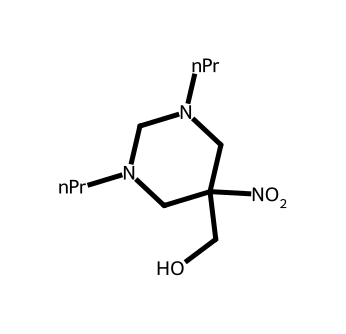 CCCN1CN(CCC)CC(CO)([N+](=O)[O-])C1